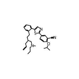 C=CCC(CCc1ccccc1-c1cnc(-c2ccc(OC(C)C)c(C#N)c2)s1)CN(C)CCC